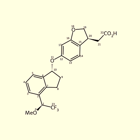 CO[C@@H](c1cccc2c1CC[C@H]2Oc1ccc2c(c1)OC[C@H]2CC(=O)O)C(F)(F)F